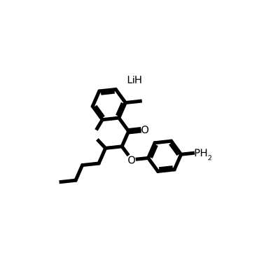 CCCCC(C)C(Oc1ccc(P)cc1)C(=O)c1c(C)cccc1C.[LiH]